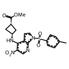 COC(=O)[C@H]1C[C@@H](Nc2c([N+](=O)[O-])cnc3c2ccn3S(=O)(=O)c2ccc(C)cc2)C1